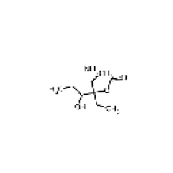 CCC(O)C(CC)(CC)OC=O.N